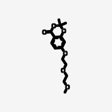 COCCOCCOc1ccc2c(c1)OC(C)(C)OC2=O